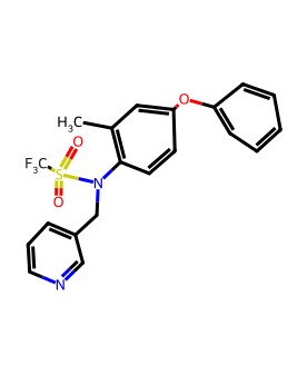 Cc1cc(Oc2ccccc2)ccc1N(Cc1cccnc1)S(=O)(=O)C(F)(F)F